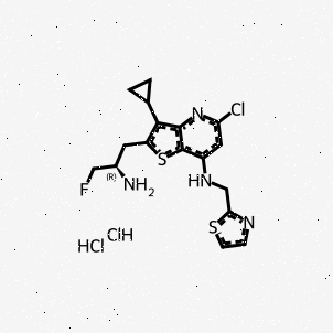 Cl.Cl.N[C@@H](CF)Cc1sc2c(NCc3nccs3)cc(Cl)nc2c1C1CC1